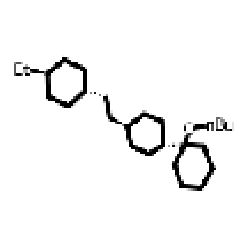 CCCCOC1([C@H]2CC[C@H](CC[C@H]3CC[C@H](CC)CC3)CC2)CCCCC1